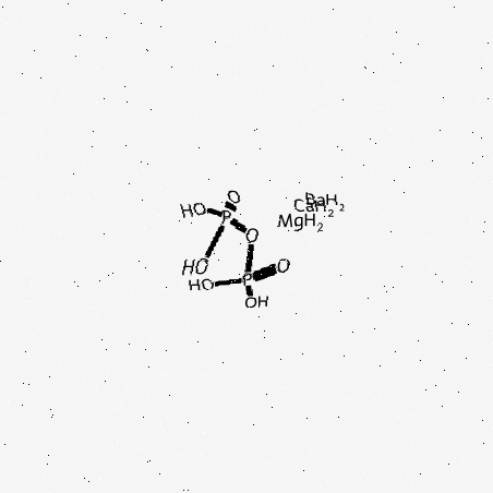 O=P(O)(O)OP(=O)(O)O.[BaH2].[CaH2].[MgH2]